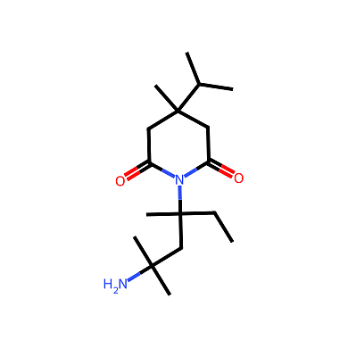 CCC(C)(CC(C)(C)N)N1C(=O)CC(C)(C(C)C)CC1=O